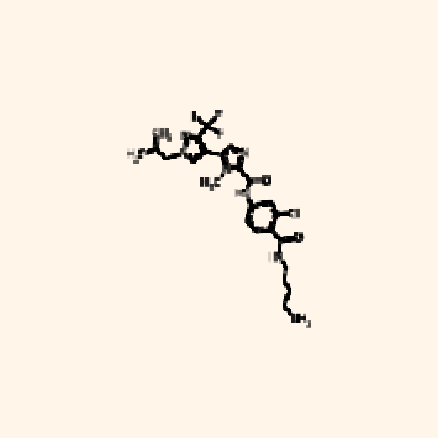 C=C(C)Cn1cc(-c2cnc(C(=O)Nc3ccc(C(=O)NCCCCN)c(Cl)c3)n2C)c(C(F)(F)F)n1